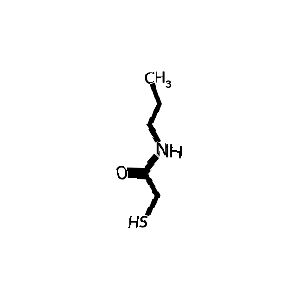 CCCNC(=O)CS